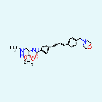 CNCC(NC(=O)c1ccc(C#CC=Cc2ccc(CN3CCOCC3)cc2)cc1)C(=O)OC